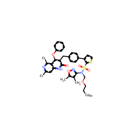 CCc1cc2[nH]c(=O)c(Cc3ccc(-c4ccsc4S(=O)(=O)N(COCCOC)c4noc(C)c4C)cc3)c(Oc3ccccc3)c2c(CC)n1